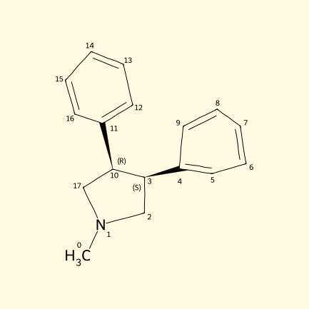 CN1C[C@H](c2ccccc2)[C@H](c2ccccc2)C1